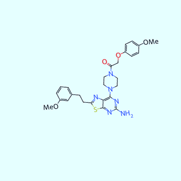 COc1ccc(OCC(=O)N2CCN(c3nc(N)nc4sc(CCc5cccc(OC)c5)nc34)CC2)cc1